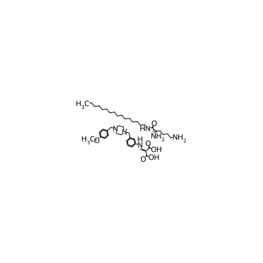 CCCCCCCCCCCCCCCCNC(=O)[C@@H](N)CCCCN.COc1ccc(CN2CCN(Cc3cccc(NC=C(C(=O)O)C(=O)O)c3)CC2)cc1